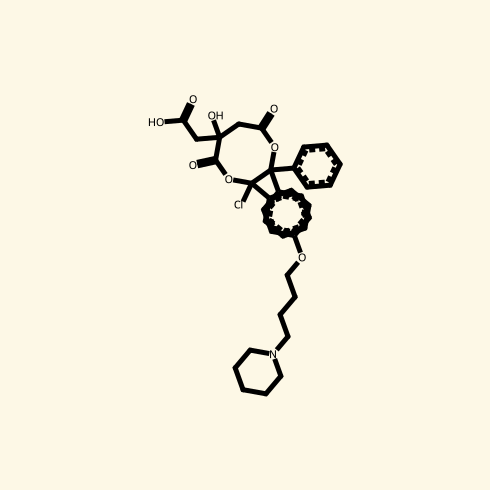 O=C(O)CC1(O)CC(=O)OC(c2ccccc2)(c2ccc(OCCCCN3CCCCC3)cc2)C(Cl)(c2ccccc2)OC1=O